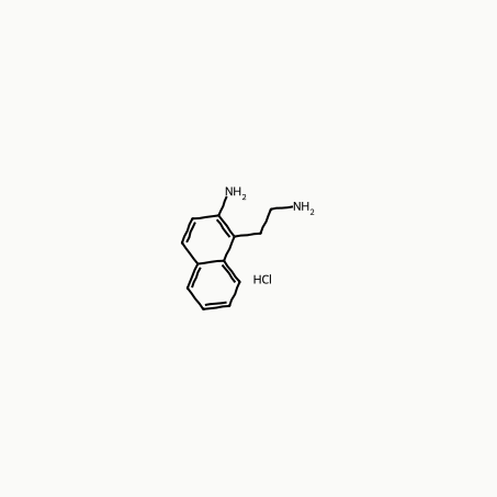 Cl.NCCc1c(N)ccc2ccccc12